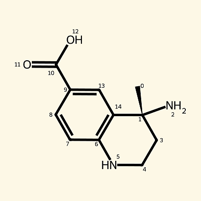 C[C@@]1(N)CCNc2ccc(C(=O)O)cc21